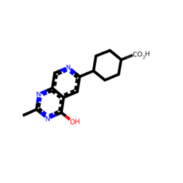 Cc1nc(O)c2cc(C3CCC(C(=O)O)CC3)ncc2n1